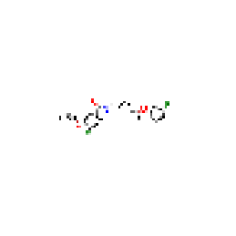 CCCCOc1cc2c(cc1F)CN(C[C@H]1CC[C@H](C(C)Oc3cccc(F)c3)CC1)C2=O